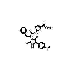 COC(=O)c1csc(NC(=O)[C@H](Cc2ccccc2)N2C(=O)NC(c3ccc(N(C)C)cc3)C2=O)n1